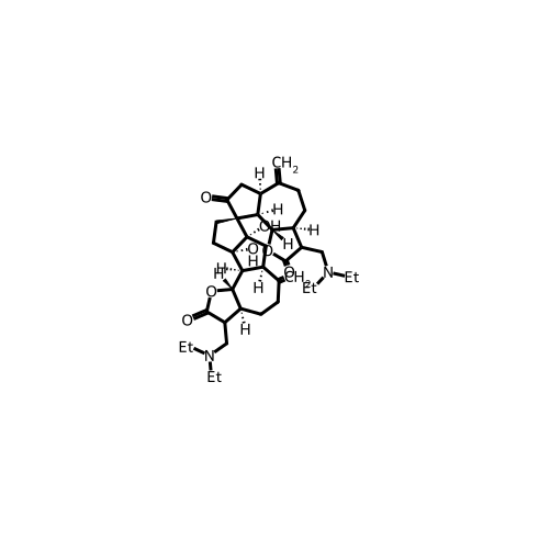 C=C1CC[C@H]2C(CN(CC)CC)C(=O)O[C@@H]2[C@@H]2[C@H]1C[C@@]1(O)[C@]2(O)CC[C@]12C(=O)C[C@H]1C(=C)CC[C@H]3C(CN(CC)CC)C(=O)O[C@@H]3[C@H]12